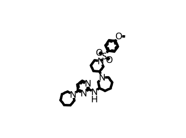 COc1ccc(S(=O)(=O)N2CCCC(N3CCCCC(Nc4nccc(N5CCCCCC5)n4)C3)C2)cc1